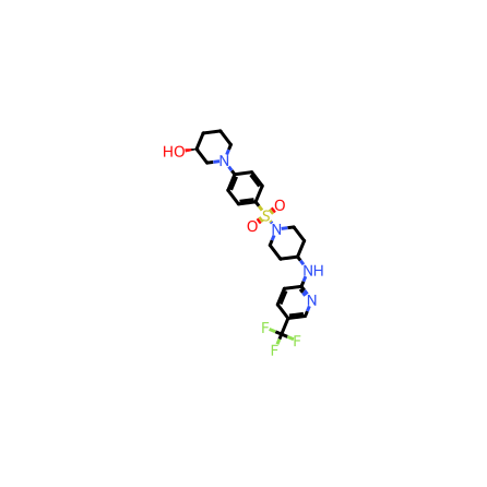 O=S(=O)(c1ccc(N2CCC[C@H](O)C2)cc1)N1CCC(Nc2ccc(C(F)(F)F)cn2)CC1